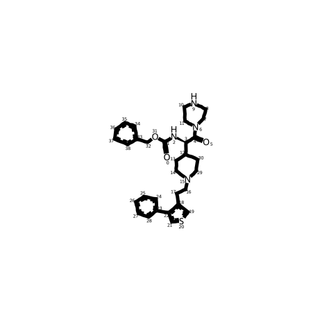 O=C(N[C@@H](C(=O)N1CCNCC1)C1CCN(CCc2cscc2-c2ccccc2)CC1)OCc1ccccc1